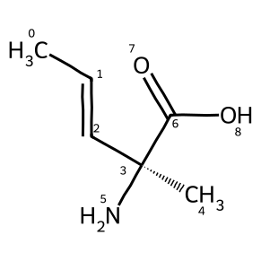 CC=C[C@](C)(N)C(=O)O